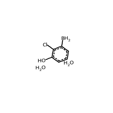 Bc1cccc(O)c1Cl.O.O